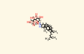 CO[C@]1(CN[C@H]2CC[C@@]3(C)C(CC[C@H]4[C@@H]5CC[C@H]([C@H](C)CCCC(C)C)[C@@]5(C)CC[C@@H]43)C2)C[C@H](O)[C@@H](O)[C@H]([C@H](O)[C@@H](O)CO)O1